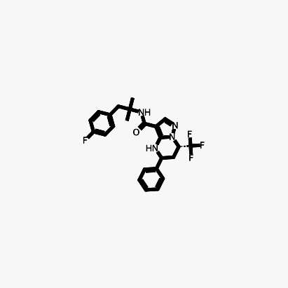 CC(C)(Cc1ccc(F)cc1)NC(=O)c1cnn2c1NC(c1ccccc1)C[C@H]2C(F)(F)F